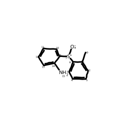 Cc1ccccc1[S+]([O-])c1ccccc1N